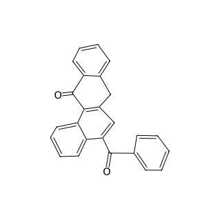 O=C(c1ccccc1)c1cc2c(c3ccccc13)C(=O)c1ccccc1C2